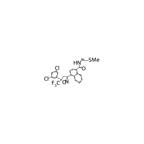 CSC[C@@H](C)NC(=O)c1ccc(C2=NOC(c3cc(Cl)cc(Cl)c3)(C(F)(F)F)C2)c2ccccc12